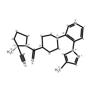 Cc1cnn(-c2ccncc2N2CCC(C(=O)N3CCC[C@]3(C)C#N)CC2)c1